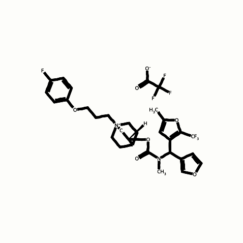 Cc1cc(C(c2ccoc2)N(C)C(=O)O[C@H]2C[N+]3(CCCOc4ccc(F)cc4)CCC2CC3)c(C(F)(F)F)o1.O=C([O-])C(F)(F)F